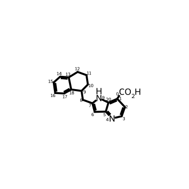 O=C(O)c1ccnc2cc(CC3CCCc4ccccc43)[nH]c12